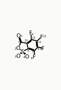 O=C1OS(=O)(=O)c2c(F)c(F)c(F)c(F)c21